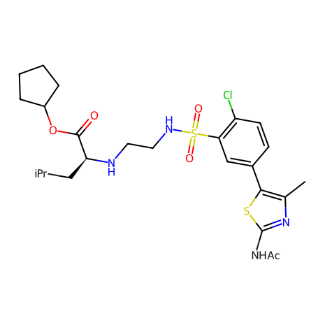 CC(=O)Nc1nc(C)c(-c2ccc(Cl)c(S(=O)(=O)NCCN[C@@H](CC(C)C)C(=O)OC3CCCC3)c2)s1